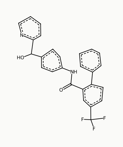 O=C(Nc1ccc(C(O)c2ccccn2)cc1)c1cc(C(F)(F)F)ccc1-c1ccccc1